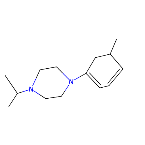 CC1C=CC=C(N2CCN(C(C)C)CC2)C1